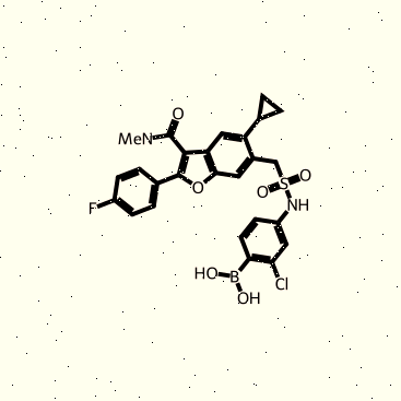 CNC(=O)c1c(-c2ccc(F)cc2)oc2cc(CS(=O)(=O)Nc3ccc(B(O)O)c(Cl)c3)c(C3CC3)cc12